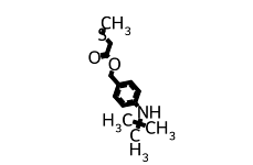 CSCC(=O)OCc1ccc(NC(C)(C)C)cc1